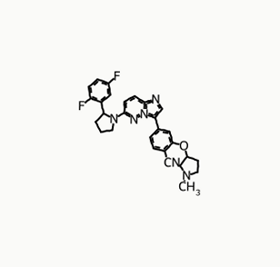 CN1CCC(Oc2cc(-c3cnc4ccc(N5CCCC5c5cc(F)ccc5F)nn34)ccc2C#N)C1